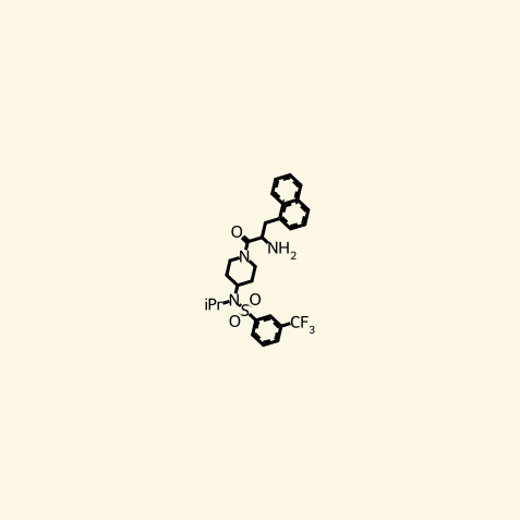 CC(C)N(C1CCN(C(=O)C(N)Cc2cccc3ccccc23)CC1)S(=O)(=O)c1cccc(C(F)(F)F)c1